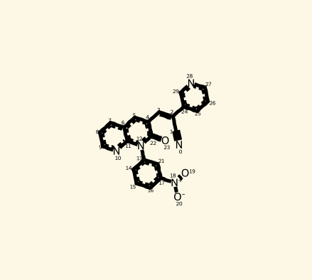 N#CC(=Cc1cc2cccnc2n(-c2cccc([N+](=O)[O-])c2)c1=O)c1cccnc1